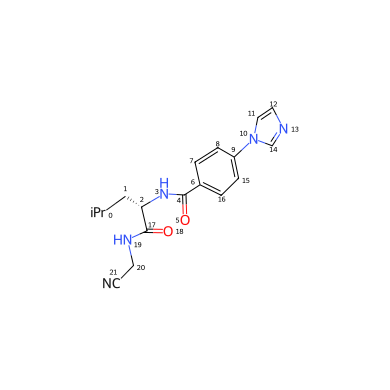 CC(C)C[C@H](NC(=O)c1ccc(-n2ccnc2)cc1)C(=O)NCC#N